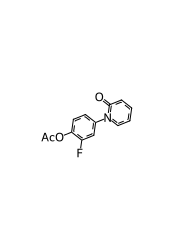 CC(=O)Oc1ccc(-n2ccccc2=O)cc1F